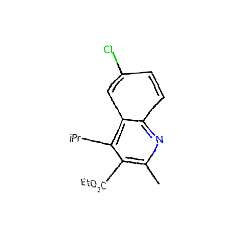 CCOC(=O)c1c(C)nc2ccc(Cl)cc2c1C(C)C